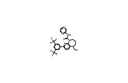 CCC1CCCN(C(=O)Nc2cnccn2)c2nc(-c3cc(C(F)(F)F)cc(C(F)(F)F)c3)ccc21